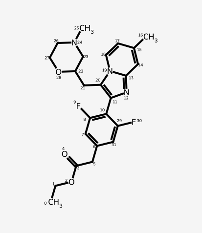 CCOC(=O)Cc1cc(F)c(-c2nc3cc(C)ccn3c2CC2CN(C)CCO2)c(F)c1